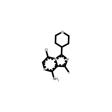 Nc1ncc(Cl)n2c(C3CCOCC3)nc(I)c12